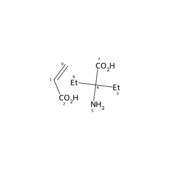 C=CC(=O)O.CCC(N)(CC)C(=O)O